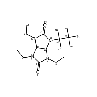 CCN1C(=O)N(CC)C2C1N(CC)C(=O)N2C(C)(C)C(C)(C)C